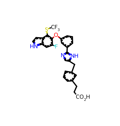 O=C(O)CCc1cccc(Cc2cnc(-c3cccc(Oc4c(F)cc5[nH]ccc5c4SC(F)(F)F)c3)[nH]2)c1